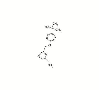 CC(C)(C)c1ccc(OCc2cccc(CN)c2)cc1